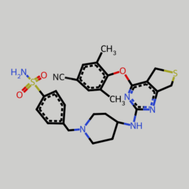 Cc1cc(C#N)cc(C)c1Oc1nc(NC2CCN(Cc3ccc(S(N)(=O)=O)cc3)CC2)nc2c1CSC2